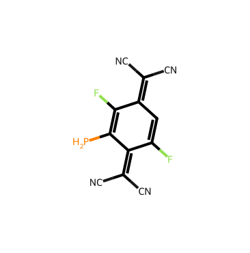 N#CC(C#N)=c1cc(F)c(=C(C#N)C#N)c(P)c1F